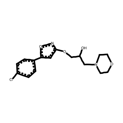 OC(COc1cc(-c2ccc(Cl)cc2)on1)CN1CCOCC1